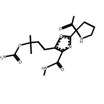 CNC(=O)c1nc(C2(C(C)=O)CCCN2)oc1CCC(C)(C)OC(N)=O